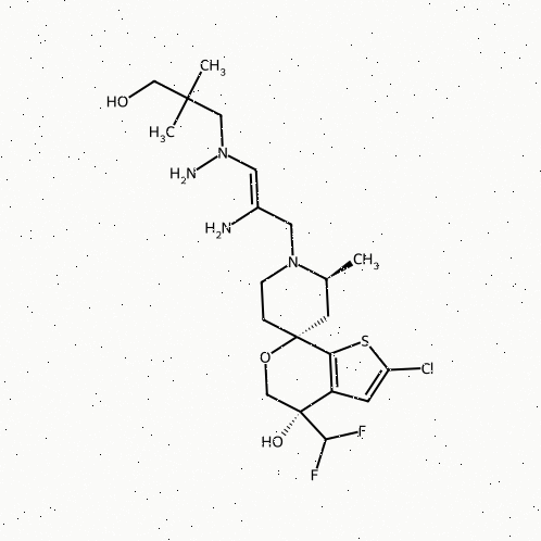 C[C@H]1C[C@@]2(CCN1C/C(N)=C/N(N)CC(C)(C)CO)OC[C@](O)(C(F)F)c1cc(Cl)sc12